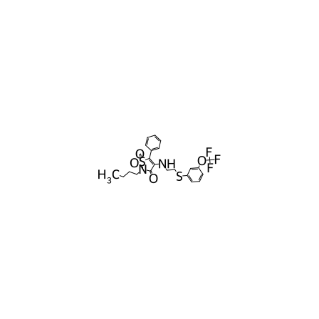 CCCCN1C(=O)C(NCCSc2cccc(OC(F)(F)F)c2)=C(c2ccccc2)S1(=O)=O